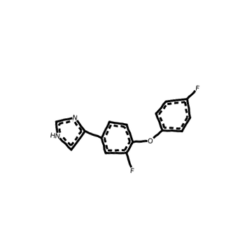 Fc1ccc(Oc2ccc(-c3c[nH]cn3)cc2F)cc1